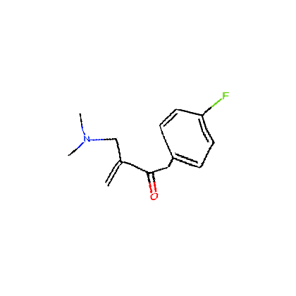 C=C(CN(C)C)C(=O)c1ccc(F)cc1